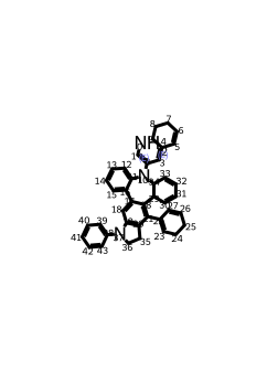 N/C=C(\C=C1\C=CCCC1)N1c2ccccc2-c2cc3c(c(C4=CCCC=C4)c2C2C=CC=CC21)CCN3c1ccccc1